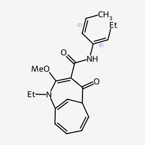 C/C=C\C(=C/CC)NC(=O)C1=C(OC)N(CC)C2=CC(C=CC=C2)C1=O